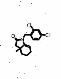 CC12CCCC=C1N(Cc1ccc(Cl)cc1Cl)C(=O)C2